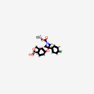 CC(C)(C)OC(=O)N1CC(Oc2ccc3c(c2)COB3O)(c2ccc(F)cc2)C1